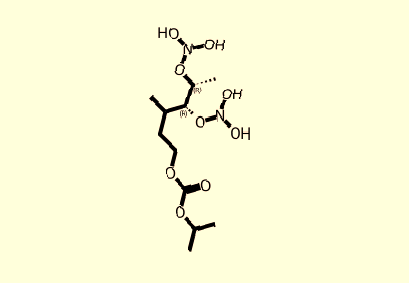 CC(C)OC(=O)OCCC(C)[C@@H](ON(O)O)[C@@H](C)ON(O)O